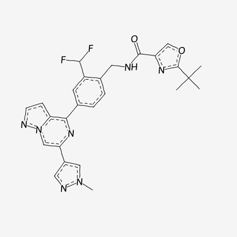 Cn1cc(-c2cn3nccc3c(-c3ccc(CNC(=O)c4coc(C(C)(C)C)n4)c(C(F)F)c3)n2)cn1